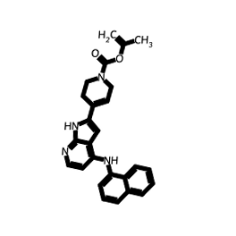 C=C(C)OC(=O)N1CC=C(c2cc3c(Nc4cccc5ccccc45)ccnc3[nH]2)CC1